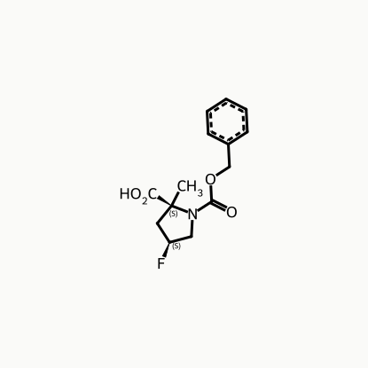 C[C@@]1(C(=O)O)C[C@H](F)CN1C(=O)OCc1ccccc1